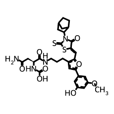 COc1cc(O)cc(-c2cc(CCCNC(=O)[C@H](CC(N)=O)NC(=O)O)c(/C=C3\SC(=S)N(C4CC5CCC4C5)C3=O)o2)c1